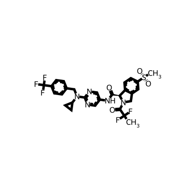 CC(F)(F)C(=O)N1Cc2cc(S(C)(=O)=O)ccc2[C@@H]1C(=O)Nc1cnc(N(Cc2ccc(C(F)(F)F)cc2)C2CC2)nc1